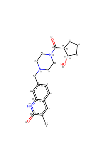 CCc1cc2ccc(CN3CCN(C(=O)[C@@H]4CCC[C@@H]4O)CC3)cc2[nH]c1=O